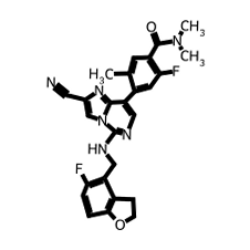 Cc1cc(C(=O)N(C)C)c(F)cc1-c1cnc(NCc2c(F)ccc3c2CCO3)n2cc(C#N)nc12